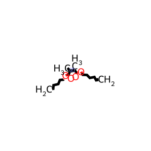 C=CCCCCOC(=O)/C(C)=C(/C)C(=O)OCCCCC=C